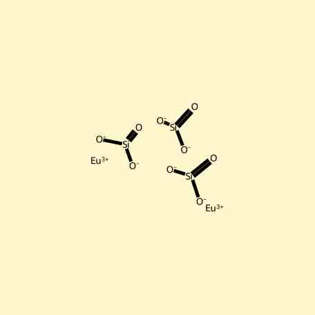 O=[Si]([O-])[O-].O=[Si]([O-])[O-].O=[Si]([O-])[O-].[Eu+3].[Eu+3]